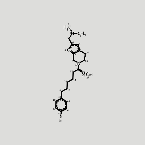 CN(C)Cc1cc2c(o1)CN(C(=O)CCCCCc1ccc(F)cc1)CC2.Cl